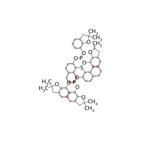 C=C1Cc2cccc(OP(Oc3cccc4c3OC(C)(C)C4)Oc3ccc4ccccc4c3Sc3c(OP(Oc4cccc5c4OC(C)(C)C5)Oc4cccc5c4OC(C)(C)C5)ccc4ccccc34)c2O1